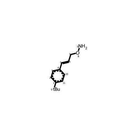 CC(C)(C)c1ccc(C=CCON)cc1